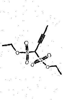 CC#CC(S(=O)(=O)OCC)S(=O)(=O)OCC